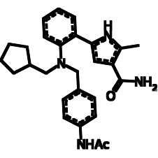 CC(=O)Nc1ccc(CN(CC2CCCC2)c2ccccc2-c2cc(C(N)=O)c(C)[nH]2)cc1